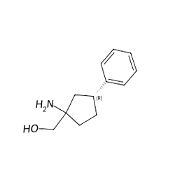 NC1(CO)CC[C@@H](c2ccccc2)C1